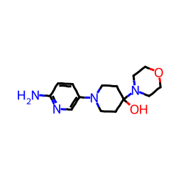 Nc1ccc(N2CCC(O)(N3CCOCC3)CC2)cn1